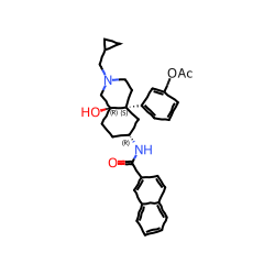 CC(=O)Oc1cccc([C@@]23CCN(CC4CC4)C[C@@]2(O)CC[C@@H](NC(=O)c2ccc4ccccc4c2)C3)c1